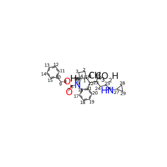 C[C@@]12CC[C@H]1N(C(=O)OCc1ccccc1)c1ccccc1C2C(CCNC1CC1)C(=O)O